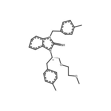 COCCOC[C@H](Cc1ccc(C)cc1)n1c(=N)n(Cc2ccc(C)cc2)c2ccccc21